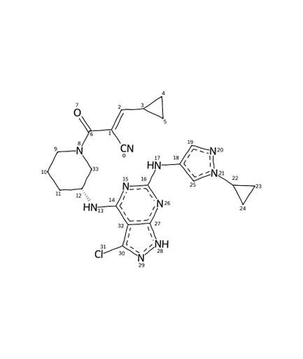 N#C/C(=C\C1CC1)C(=O)N1CCC[C@@H](Nc2nc(Nc3cnn(C4CC4)c3)nc3[nH]nc(Cl)c23)C1